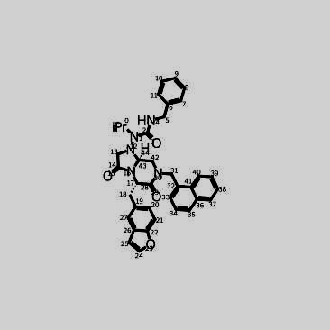 CC(C)N(C(=O)NCc1ccccc1)N1CC(=O)N2[C@@H](Cc3ccc4occc4c3)C(=O)N(Cc3cccc4ccccc34)C[C@@H]21